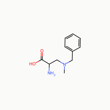 CN(Cc1ccccc1)CC(N)C(=O)O